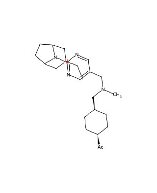 CC(=O)[C@H]1CC[C@@H](CN(C)Cc2cnc(N3C4CCC3CN(CI)C4)nc2)CC1